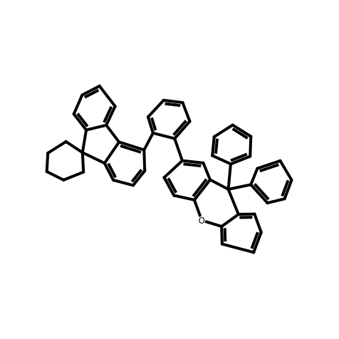 c1ccc(C2(c3ccccc3)c3ccccc3Oc3ccc(-c4ccccc4-c4cccc5c4-c4ccccc4C54CCCCC4)cc32)cc1